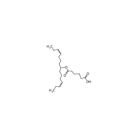 CC/C=C\CCCC(CCC/C=C\CC)OC(=O)CCCCC(=O)O